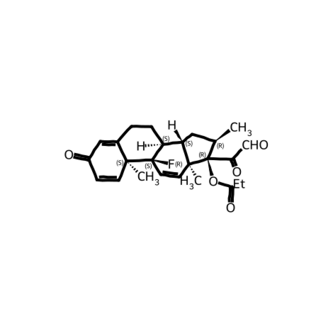 CCC(=O)O[C@]1(C(=O)C=O)[C@H](C)C[C@H]2[C@@H]3CCC4=CC(=O)C=C[C@]4(C)[C@@]3(F)C=C[C@@]21C